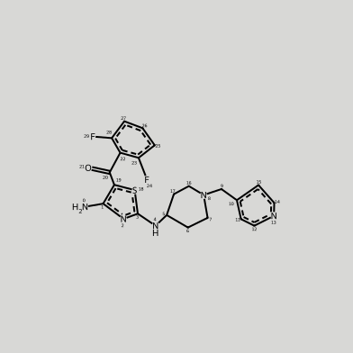 Nc1nc(NC2CCN(Cc3ccncc3)CC2)sc1C(=O)c1c(F)cccc1F